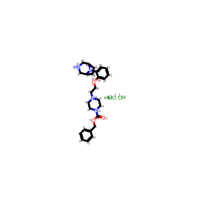 Cl.Cl.Cl.O=C(OCc1ccccc1)N1CCN(CCOc2ccccc2N2C3CCC2CNC3)CC1